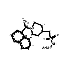 CC(=O)NNS(=O)(=O)CC1CCN(C(C)c2cccc3ccccc23)CC1